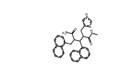 CNC(=O)C(Cc1c[nH]cn1)C(c1cccc2ccccc12)C(Cc1cccc2ccccc12)C(N)=O